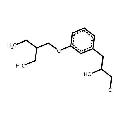 CCC(CC)COc1cccc(CC(O)CCl)c1